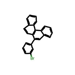 Brc1cccc(-c2cc3ccccc3c3c2ccc2ccccc23)c1